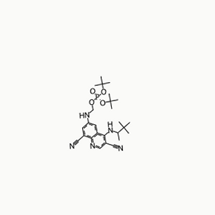 CC(Nc1c(C#N)cnc2c(C#N)cc(NCOP(=O)(OC(C)(C)C)OC(C)(C)C)cc12)C(C)(C)C